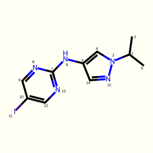 CC(C)n1cc(Nc2ncc(I)cn2)cn1